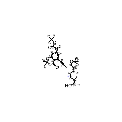 C[C@H](O)[C@H](C)/C=C\[C@@H](C)[C@H]1OC(C)(C)O[C@H]1CC#Cc1cc(N(C)C(=O)OC(C)(C)C)cc2c1C(=O)OC(C)(C)O2